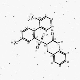 Cc1ccc(-c2ccccc2C)c(S(=O)(=O)C2Cc3ccccc3OC2=O)c1